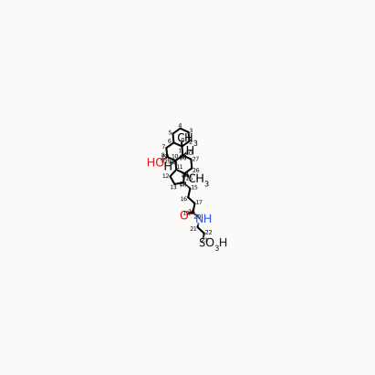 CC12CCCCC1C[C@H](O)[C@H]1C3CC[C@H](CCCC(=O)NCCS(=O)(=O)O)[C@@]3(C)CC[C@H]12